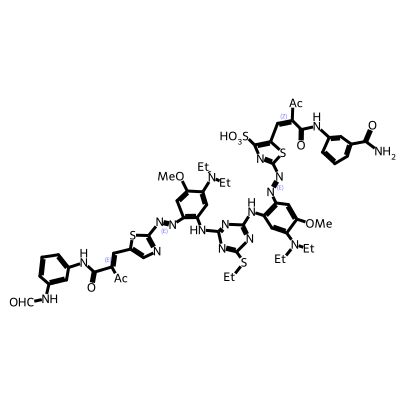 CCSc1nc(Nc2cc(N(CC)CC)c(OC)cc2/N=N/c2ncc(/C=C(\C(C)=O)C(=O)Nc3cccc(NC=O)c3)s2)nc(Nc2cc(N(CC)CC)c(OC)cc2/N=N/c2nc(S(=O)(=O)O)c(/C=C(/C(C)=O)C(=O)Nc3cccc(C(N)=O)c3)s2)n1